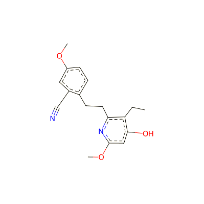 CCc1c(O)cc(OC)nc1CCc1ccc(OC)cc1C#N